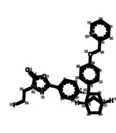 O=c1oc(-c2ccc([C@]3(c4ccc(OCc5ccccn5)cc4)C[C@@H]4CC[C@H]3C4)cc2)nn1CCF